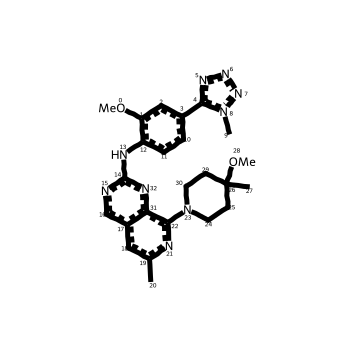 COc1cc(-c2nnnn2C)ccc1Nc1ncc2cc(C)nc(N3CCC(C)(OC)CC3)c2n1